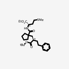 CCOC(=O)[C@H](CCSC)NC(=O)C1(C[C@@H](CCc2ccccc2)C(=O)OC(C)(C)C)CCCC1